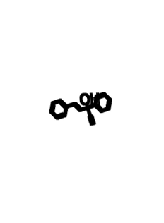 C#CC(O)(C=Cc1ccccc1)c1ccccc1